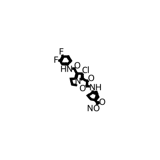 O=NC(=O)C12CCC(NC(=O)C(=O)c3c(Cl)c(C(=O)Nc4ccc(F)c(F)c4)c4n3CCC4)(CC1)C2